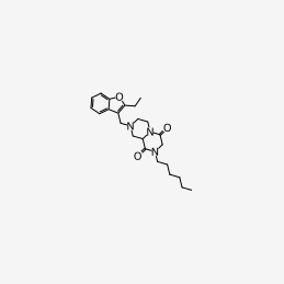 CCCCCCN1CC(=O)N2CCN(Cc3c(CC)oc4ccccc34)CC2C1=O